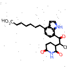 CC(C(=O)c1ccc(CCCCCCC(=O)O)c2cc[nH]c12)C1CCC(=O)NC1=O